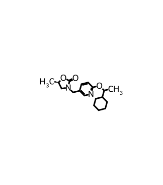 CC(Oc1ccc(CN2C[C@@H](C)OC2=O)cn1)C1CCCCC1